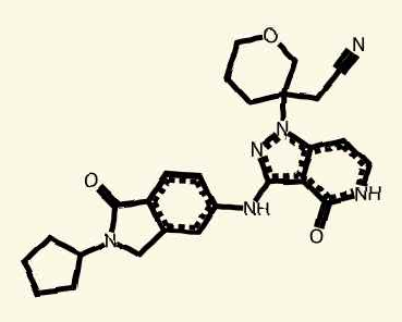 N#CCC1(n2nc(Nc3ccc4c(c3)CN(C3CCCC3)C4=O)c3c(=O)[nH]ccc32)CCCOC1